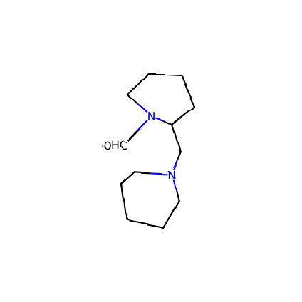 O=[C]N1CCCCC1CN1CCCCC1